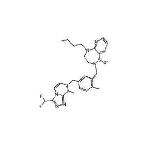 CCCCN1CCN(Cc2cc(Cc3ccn4c(C(F)F)nnc4c3C)ccc2C)[S+]([O-])c2cccnc21